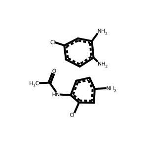 CC(=O)Nc1ccc(N)cc1Cl.Nc1ccc(Cl)cc1N